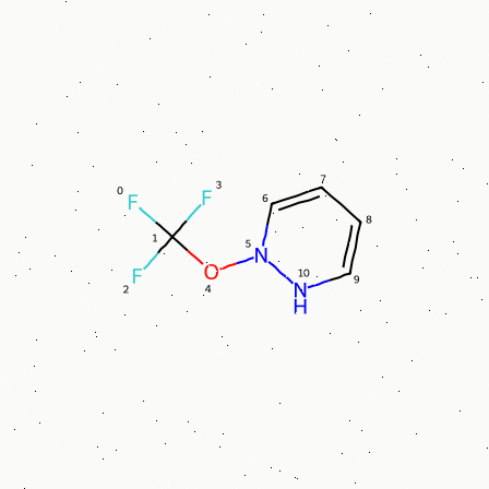 FC(F)(F)ON1C=CC=CN1